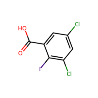 O=C(O)c1cc(Cl)cc(Cl)c1I